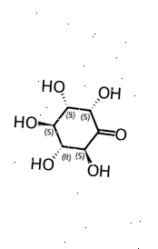 O=C1[C@@H](O)[C@H](O)[C@@H](O)[C@H](O)[C@@H]1O